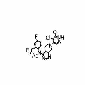 CC(=O)N(c1ccc(F)cc1C(F)(F)F)c1ncnc2c1CCN(c1cn[nH]c(=O)c1Cl)C2